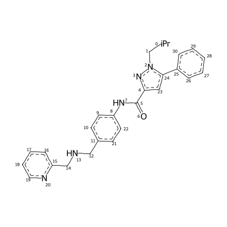 CC(C)Cn1nc(C(=O)Nc2ccc(CNCc3ccccn3)cc2)cc1-c1ccccc1